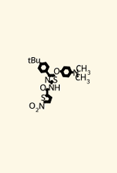 CN(C)c1ccc(Oc2sc(NC(=O)c3ccc([N+](=O)[O-])s3)nc2-c2ccc(C(C)(C)C)cc2)cc1